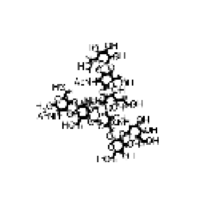 CO[C@H](OC[C@H](O)C(CO[C@H]1OC(CO)[C@@H](O)C(O)C1O[C@@H]1OC(CO)[C@@H](O)C(O)C1NC(C)=O)O[C@H](CO)O[C@H]1CC(NC(C)=O)[C@H](O[C@@H]2C(CO)O[C@@H](C)C(NC(C)=O)C2O)OC1CO)C(O[C@@H]1OC(CO)[C@@H](O[C@@H]2OC(CO)[C@H](O)C(O)C2O)C(O)C1NC(C)=O)C(O)[C@H](O)CCO